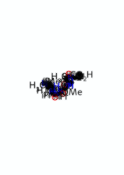 CC[C@H](C)[C@@H]([C@@H](CC(=O)N1CCC[C@H]1[C@H](OC)[C@@H](C)C(=O)N[C@@H](Cc1ccccc1)C(=O)O)OC)N(C)C(=O)[C@@H](NC(=O)[C@H](C(C)C)N(C)CCc1ccc(N(C)C(C)C)cc1)C(C)C